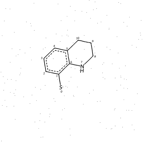 [S]c1cccc2c1NCCC2